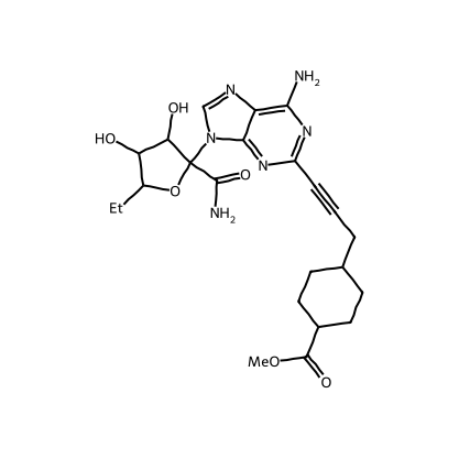 CCC1OC(C(N)=O)(n2cnc3c(N)nc(C#CCC4CCC(C(=O)OC)CC4)nc32)C(O)C1O